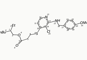 CCCCC(CC)COC(=O)CCSc1ccnc(NCc2ccc(OC)cc2)c1Cl